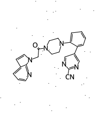 N#Cc1ncc(-c2ccccc2N2CCN(C(=O)Cn3ccc4cccnc43)CC2)cn1